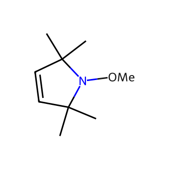 CON1C(C)(C)C=CC1(C)C